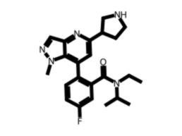 CCN(C(=O)c1cc(F)ccc1-c1cc(C2CCNC2)nc2cnn(C)c12)C(C)C